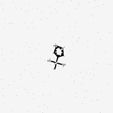 CS(S)(S)c1cn[nH]c1